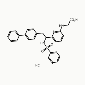 Cl.O=C(O)CNc1cccc(C(Cc2ccc(-c3ccccc3)cc2)NS(=O)(=O)c2cccnc2)n1